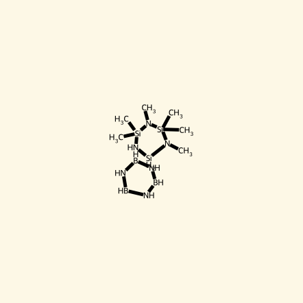 B1NBNBN1.CN1[SiH2]N[Si](C)(C)N(C)[Si]1(C)C